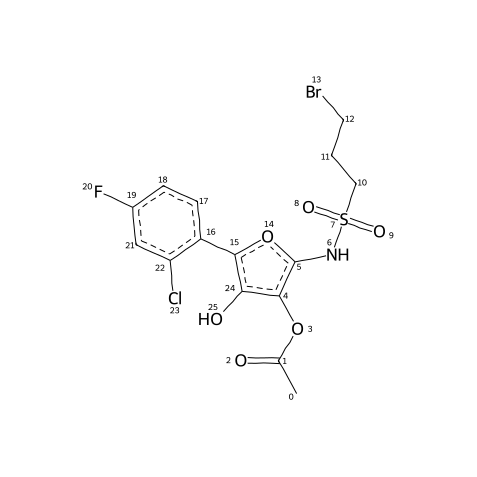 CC(=O)Oc1c(NS(=O)(=O)CCCBr)oc(-c2ccc(F)cc2Cl)c1O